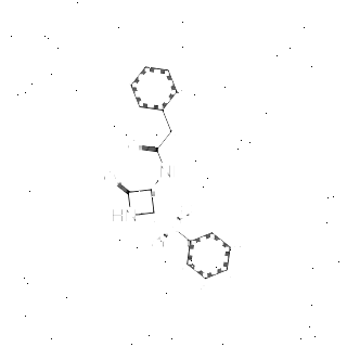 O=C(Cc1ccccc1)N[C@@H]1C(=O)N[C@H]1S(=O)(=O)c1ccccc1